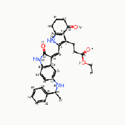 CCOC(=O)CCc1c(/C=C2\C(=O)Nc3ccc(NC(C)c4ccccc4)cc32)[nH]c2c1C(=O)CCC2